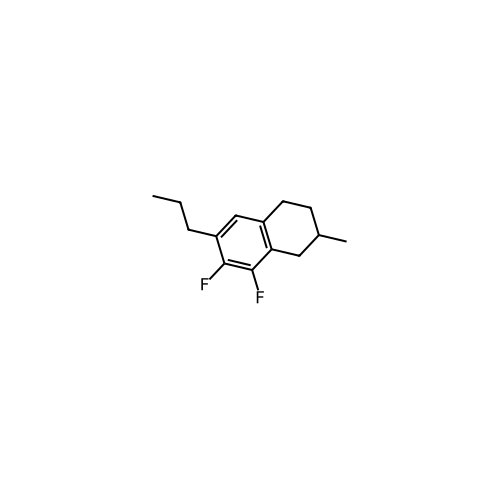 CCCc1cc2c(c(F)c1F)CC(C)CC2